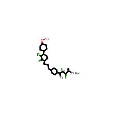 C=C(CCCCCC)C(F)[C@H](F)C(CC)C1CCC(CCCC2CCC(C3CCC(OCCCC)CC3)C(F)C2F)CC1